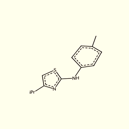 Cc1ccc(Nc2nc(C(C)C)cs2)cc1